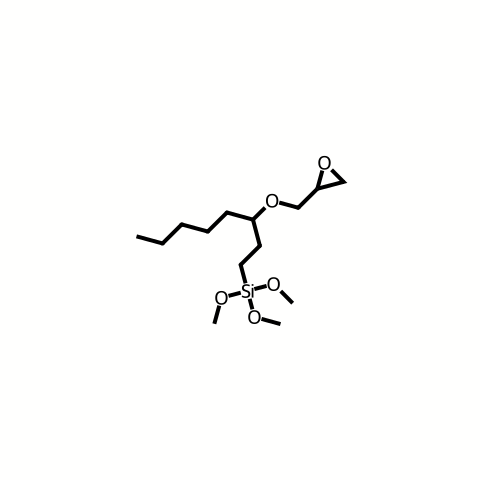 CCCCCC(CC[Si](OC)(OC)OC)OCC1CO1